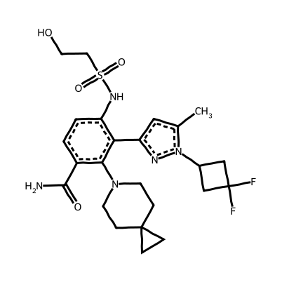 Cc1cc(-c2c(NS(=O)(=O)CCO)ccc(C(N)=O)c2N2CCC3(CC2)CC3)nn1C1CC(F)(F)C1